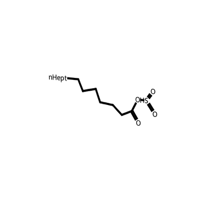 CCCCCCCCCCCCCC(=O)O[SH](=O)=O